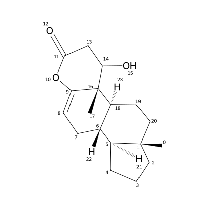 C[C@@]12CCC[C@H]1[C@@H]1CC=C3OC(=O)CC(O)[C@]3(C)[C@H]1CC2